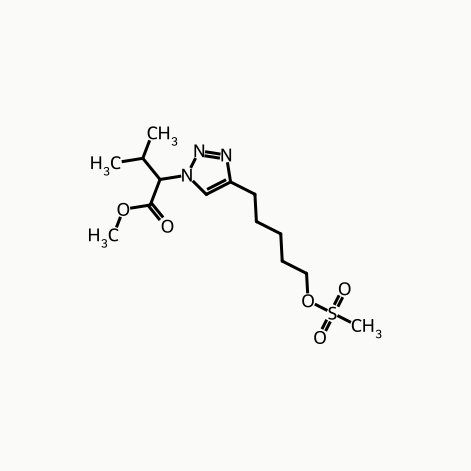 COC(=O)C(C(C)C)n1cc(CCCCCOS(C)(=O)=O)nn1